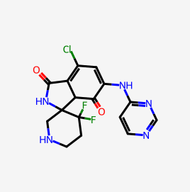 O=C1NC2(CNCCC2(F)F)C2C(=O)C(Nc3ccncn3)=CC(Cl)=C12